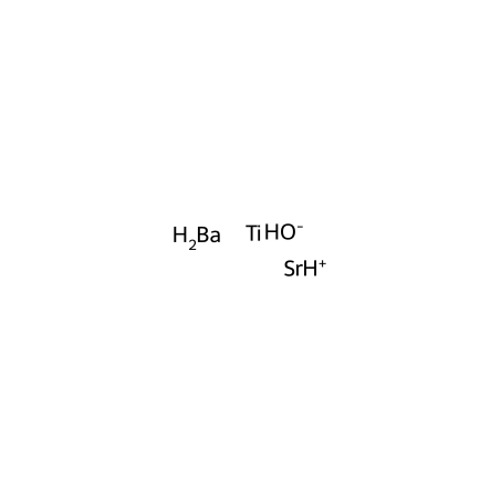 [BaH2].[OH-].[SrH+].[Ti]